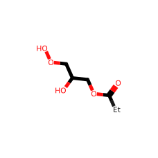 CCC(=O)OCC(O)COO